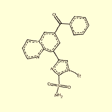 CCn1cc(-c2cc(C(=O)c3ccccc3)cc3cccnc23)nc1S(N)(=O)=O